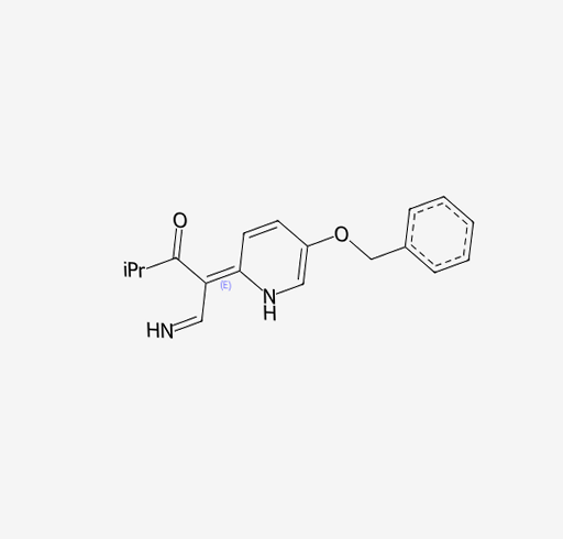 CC(C)C(=O)/C(C=N)=C1\C=CC(OCc2ccccc2)=CN1